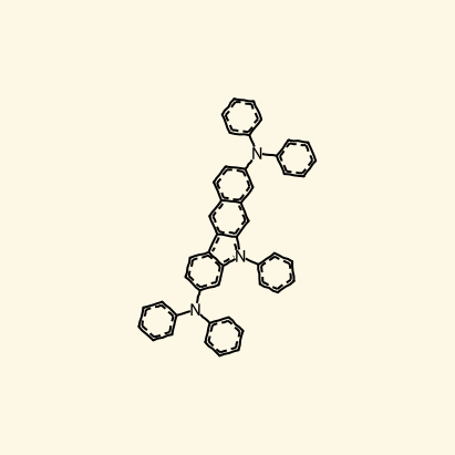 c1ccc(N(c2ccccc2)c2ccc3cc4c5ccc(N(c6ccccc6)c6ccccc6)cc5n(-c5ccccc5)c4cc3c2)cc1